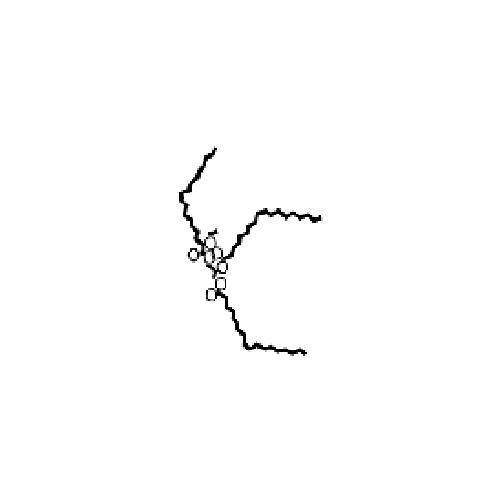 CCCCCCCC/C=C\CCCCCCCC(=O)OCC(COC(=O)C(CCCCCC/C=C\CCCCCCCC)OCC)OC(=O)CCCCCCC/C=C\CCCCCCCC